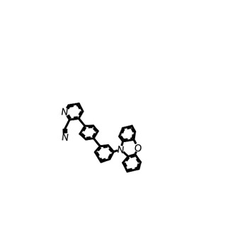 N#Cc1ncccc1-c1ccc(-c2cccc(N3c4ccccc4Oc4ccccc43)c2)cc1